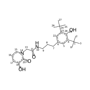 CC(C)(C)c1cc(CCCNC(=O)Cn2cccc(O)c2=O)cc(C(C)(C)C)c1O